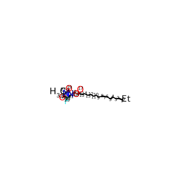 CCC=CCC=CCC=CCCCCCCCC(=O)OCn1cc(F)c(=O)n(C)c1=O